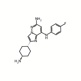 Nc1cc(Nc2ccc(F)cc2)c2nc([C@H]3CC[C@H](N)CC3)cn2n1